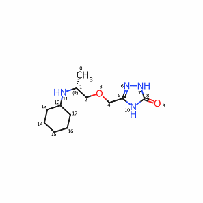 C[C@H](COCc1n[nH]c(=O)[nH]1)NC1CCCCC1